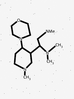 CNCC(C1CN(C)CCC1N1CCOCC1)N(C)C